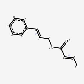 C/C=C/C(=O)OC/C=C/c1ccccc1